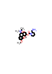 CCN(C)C1Cc2ccc(OC)c3c2C2[C@@H](O3)C(OC(=O)N3CCCCC3CN)=CC[C@]21O